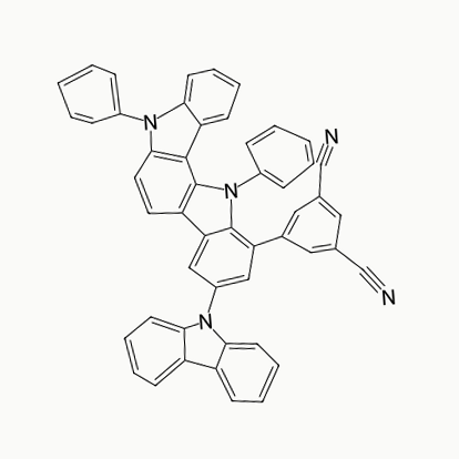 N#Cc1cc(C#N)cc(-c2cc(-n3c4ccccc4c4ccccc43)cc3c4ccc5c(c6ccccc6n5-c5ccccc5)c4n(-c4ccccc4)c23)c1